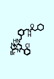 O=C(CC1CCCCC1)NCc1cccc(CNc2cc(-c3ccccc3Cl)nc3c(Br)cnn23)c1